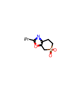 CC(C)c1nc2c(o1)CS(=O)(=O)CC2